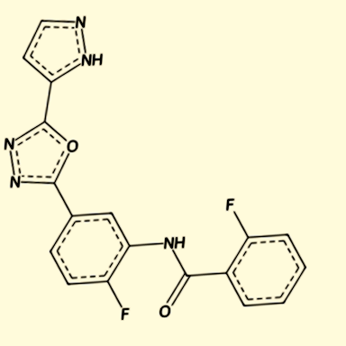 O=C(Nc1cc(-c2nnc(-c3ccn[nH]3)o2)ccc1F)c1ccccc1F